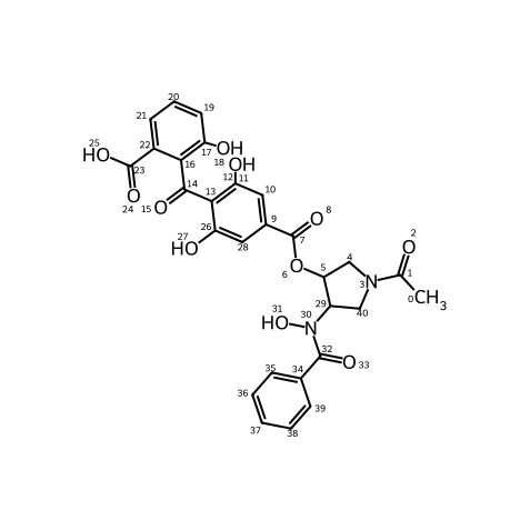 CC(=O)N1CC(OC(=O)c2cc(O)c(C(=O)c3c(O)cccc3C(=O)O)c(O)c2)C(N(O)C(=O)c2ccccc2)C1